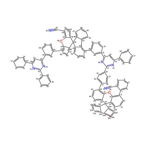 N#Cc1ccccc1-c1cccc2c1Oc1c(-c3ccc(-c4nc(-c5ccccc5)cc(-c5cccc(-c6cccc7c6-c6ccccc6C76c7cccc(C#N)c7Oc7c(-c8cccc(-c9cc(-c%10ccccc%10)nc(-c%10ccccc%10)n9)c8)cccc76)c5)n4)cc3)cccc1C21c2ccccc2-c2ccccc21